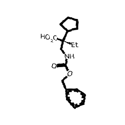 CC[C@@](CNC(=O)OCc1ccccc1)(C(=O)O)C1CCCC1